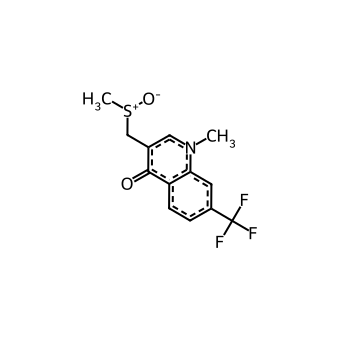 Cn1cc(C[S+](C)[O-])c(=O)c2ccc(C(F)(F)F)cc21